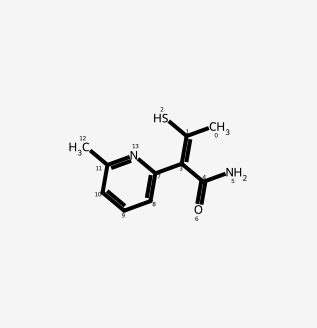 CC(S)=C(C(N)=O)c1cccc(C)n1